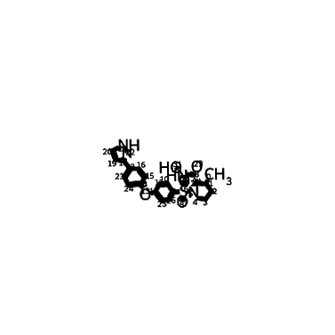 CC1CCCN(S(=O)(=O)c2ccc(Oc3ccc(-c4cc[nH]n4)cc3)cc2)[C@@H]1C(=O)NO